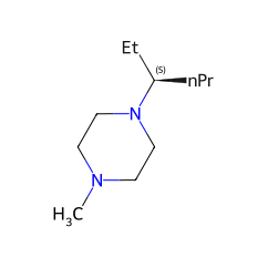 CCC[C@H](CC)N1CCN(C)CC1